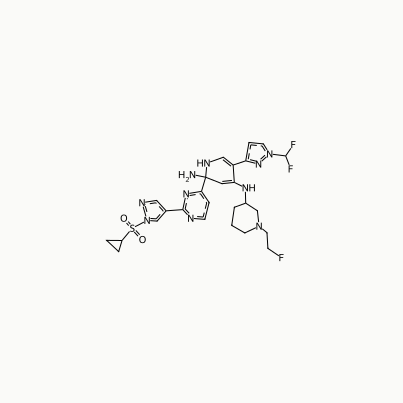 NC1(c2ccnc(-c3cnn(S(=O)(=O)C4CC4)c3)n2)C=C(NC2CCCN(CCF)C2)C(c2ccn(C(F)F)n2)=CN1